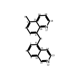 Cc1ccc(Cc2cccc3cnccc23)c2ncccc12